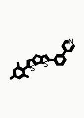 Cc1cc(C)c(-c2cc3c(s2)-c2sc(-c4cccc(-c5ccncc5)c4)cc2C3)c(C)c1